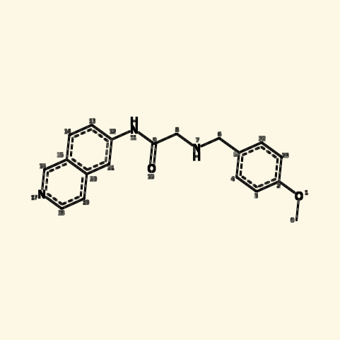 COc1ccc(CNCC(=O)Nc2ccc3cnccc3c2)cc1